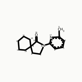 Cc1cccc(N2CCC3(CCCCC3)C2=O)n1